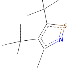 Cc1nsc(C(C)(C)C)c1C(C)(C)C